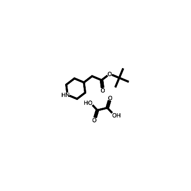 CC(C)(C)OC(=O)CC1CCNCC1.O=C(O)C(=O)O